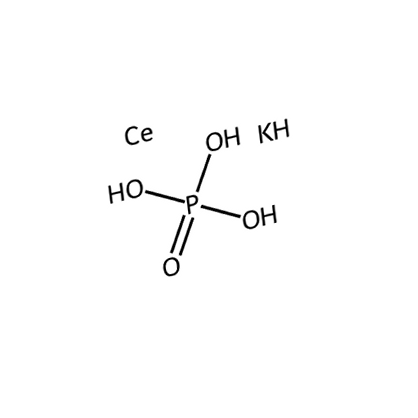 O=P(O)(O)O.[Ce].[KH]